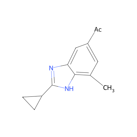 CC(=O)c1cc(C)c2[nH]c(C3CC3)nc2c1